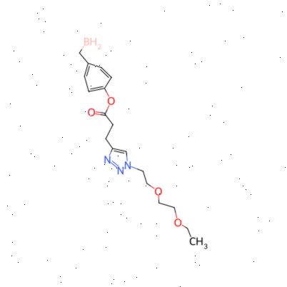 BCc1ccc(OC(=O)CCc2cn(CCOCCOCC)nn2)cc1